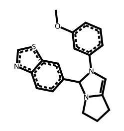 COc1cccc(N2C=C3CCCN3C2c2ccc3ncsc3c2)c1